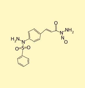 NN(N=O)C(=O)/C=C/c1ccc(N(N)S(=O)(=O)c2ccccc2)cc1